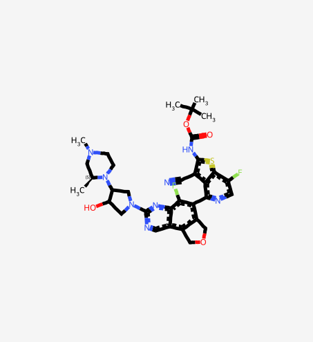 C[C@H]1CN(C)CCN1C1CN(c2ncc3c4c(c(-c5ncc(F)c6sc(NC(=O)OC(C)(C)C)c(C#N)c56)c(F)c3n2)COC4)CC1O